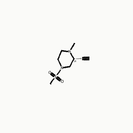 C#C[C@@H]1CN(S(C)(=O)=O)CCN1C